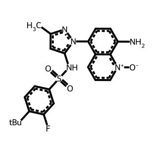 Cc1cc(NS(=O)(=O)c2ccc(C(C)(C)C)c(F)c2)n(-c2ccc(N)c3c2ccc[n+]3[O-])n1